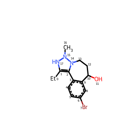 CCC1=C2c3ccc(Br)cc3C(O)CCN2N(C)N1